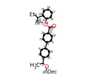 CCCCCCCCCCOC(C)c1ccc(-c2ccc(C(=O)Oc3ccccc3C(CC)CCC)cc2)cc1